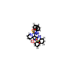 C1=CN(c2nc3ccccc3o2)C(c2nc3ccccc3o2)(C(c2nc3ccccc3s2)c2nc3ccccc3s2)C=C1